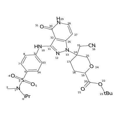 CC(C)N(C)S(=O)(=O)c1ccc(Nc2nn(C3(CC#N)CCC(C(=O)OC(C)(C)C)OC3)c3cc[nH]c(=O)c23)cc1